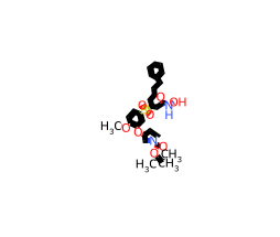 COc1ccc(S(=O)(=O)C(CCCCc2ccccc2)CC(=O)NO)cc1OC1CCN(C(=O)OC(C)(C)C)C1